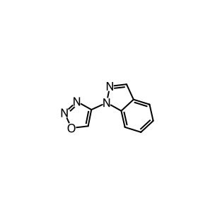 c1ccc2c(c1)cnn2-c1conn1